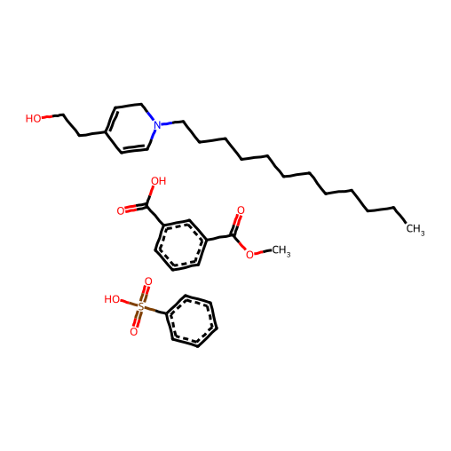 CCCCCCCCCCCCN1C=CC(CCO)=CC1.COC(=O)c1cccc(C(=O)O)c1.O=S(=O)(O)c1ccccc1